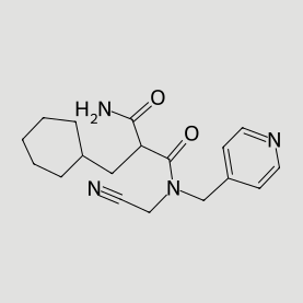 N#CCN(Cc1ccncc1)C(=O)C(CC1CCCCC1)C(N)=O